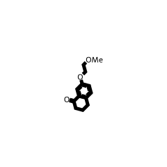 COCCOc1ccc2c(c1)C(=O)CCC2